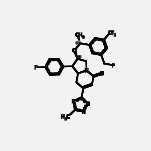 Cc1noc(C2=CC(=O)N3C[C@H](O[C@H](C)c4cc(CF)cc(C(F)(F)F)c4)C(c4ccc(F)cc4)C3C2)n1